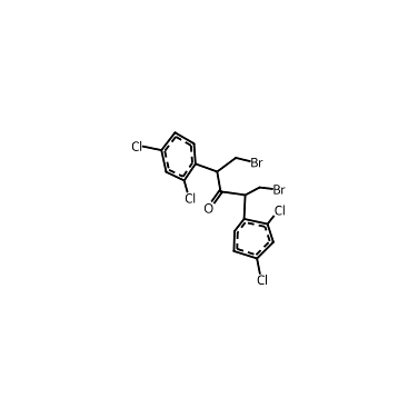 O=C(C(CBr)c1ccc(Cl)cc1Cl)C(CBr)c1ccc(Cl)cc1Cl